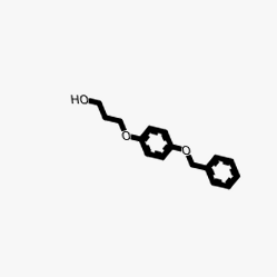 OCCCOc1ccc(OCc2ccccc2)cc1